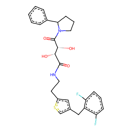 O=C(NCCc1cc(Cc2c(F)cccc2F)cs1)[C@H](O)[C@@H](O)C(=O)N1CCCC1c1ccccc1